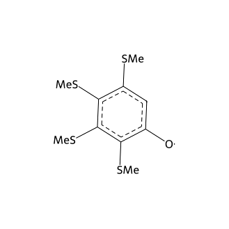 CSc1cc([O])c(SC)c(SC)c1SC